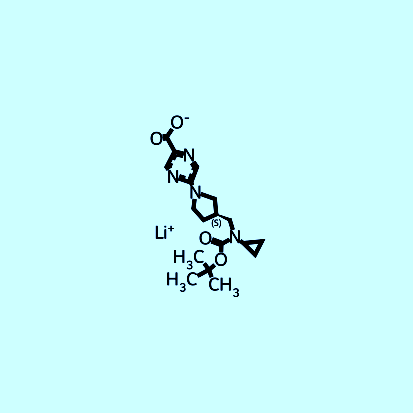 CC(C)(C)OC(=O)N(C[C@H]1CCN(c2cnc(C(=O)[O-])cn2)C1)C1CC1.[Li+]